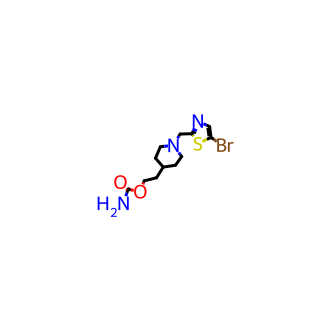 NC(=O)OCCC1CCN(Cc2ncc(Br)s2)CC1